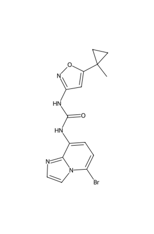 CC1(c2cc(NC(=O)Nc3ccc(Br)n4ccnc34)no2)CC1